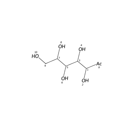 CC(=O)C(O)C(O)C(O)C(O)CO